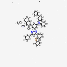 C=C/C=C\c1c(C)c(-c2cc(-c3nc(-c4ccccc4)cc(-c4cccc5c4sc4ccccc45)n3)cc(-n3c4ccccc4c4ccc(-c5ccccc5)cc43)c2)cc2ccccc12